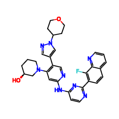 O[C@H]1CCCN(c2cc(Nc3ccnc(-c4ccc5cccnc5c4F)n3)ncc2-c2cnn(C3CCOCC3)c2)C1